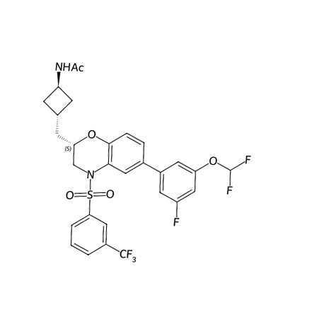 CC(=O)N[C@H]1C[C@H](C[C@H]2CN(S(=O)(=O)c3cccc(C(F)(F)F)c3)c3cc(-c4cc(F)cc(OC(F)F)c4)ccc3O2)C1